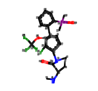 CNC1CCN(c2ccc(-c3ccccc3P(C)(C)=O)c(OC(F)(F)F)c2F)C1=O